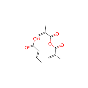 C=C(C)C(=O)OC(=O)C(=C)C.CC=CC(=O)O